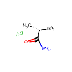 C[C@H]([AsH2])C(N)=O.Cl